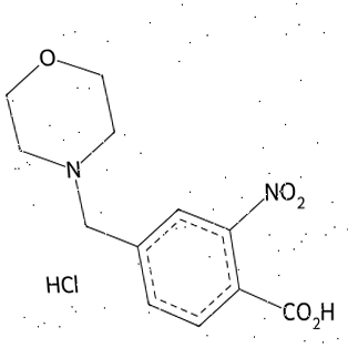 Cl.O=C(O)c1ccc(CN2CCOCC2)cc1[N+](=O)[O-]